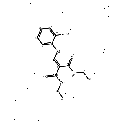 CCOC(=O)C(=C[AsH]c1ccccc1F)C(=O)OCC